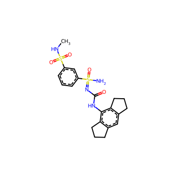 CNS(=O)(=O)c1cccc(S(N)(=O)=NC(=O)Nc2c3c(cc4c2CCC4)CCC3)c1